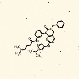 CC(C)n1cc(Nc2ncc3c(n2)N(c2cccc(NC(=O)CCCN(C)C)c2)C(=O)N(Cc2ccccc2)C3)cn1